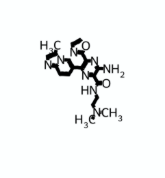 Cc1cnc2ccc(-c3nc(C(=O)NCCN(C)C)c(N)nc3-c3ncco3)cn12